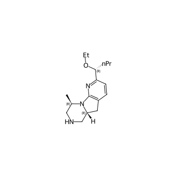 CCC[C@@H](OCC)c1ccc2c(n1)N1[C@@H](CNC[C@H]1C)C2